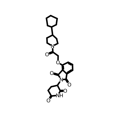 O=C1CCC(N2C(=O)c3cccc(OCC(=O)N4CCC(C5CCCCC5)CC4)c3C2=O)C(=O)N1